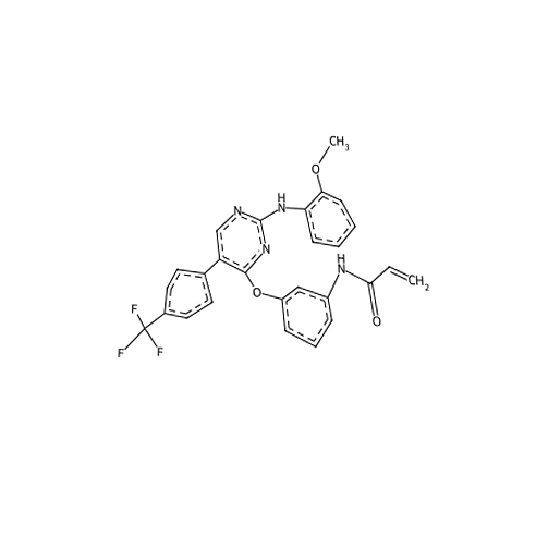 C=CC(=O)Nc1cccc(Oc2nc(Nc3ccccc3OC)ncc2-c2ccc(C(F)(F)F)cc2)c1